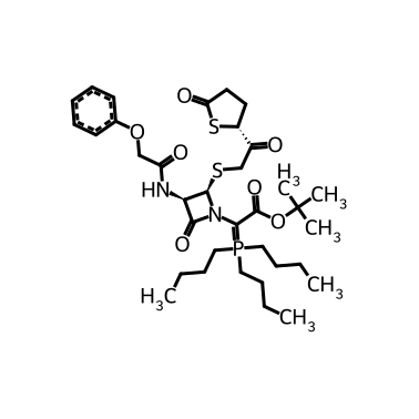 CCCCP(CCCC)(CCCC)=C(C(=O)OC(C)(C)C)N1C(=O)[C@@H](NC(=O)COc2ccccc2)[C@H]1SCC(=O)[C@H]1CCC(=O)S1